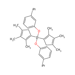 CC1=C(C)C(C)=[C]([Zr]([O]c2cccc(C(C)C)c2)([O]c2cccc(C(C)C)c2)[C]2=C(C)C(C)=C(C)C2)C1